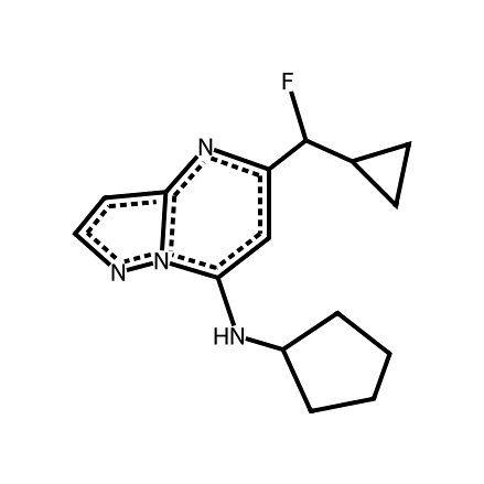 FC(c1cc(NC2CCCC2)n2nccc2n1)C1CC1